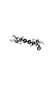 CC(C)CC(=O)N1[C@@H](C)CC[C@H]1c1nc(Cl)c(-c2ccc(-c3ccc(-c4[nH]c([C@@H]5CC[C@H](C)N5C(=O)CC5CCOCC5)nc4Cl)cc3)cc2)[nH]1